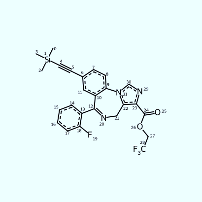 C[Si](C)(C)C#Cc1ccc2c(c1)C(c1ccccc1F)=NCc1c(C(=O)OCC(F)(F)F)ncn1-2